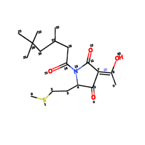 CSCCC1C(=O)/C(=C(\C)O)C(=O)N1C(=O)CC(C)CC(C)(C)C